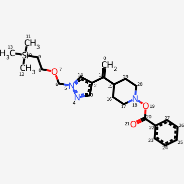 C=C(c1cnn(COCC[Si](C)(C)C)c1)C1CCN(OC(=O)c2ccccc2)CC1